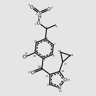 CC(O[SH](=O)=O)c1ccc(C(=O)c2cnoc2C2CC2)c(Cl)c1